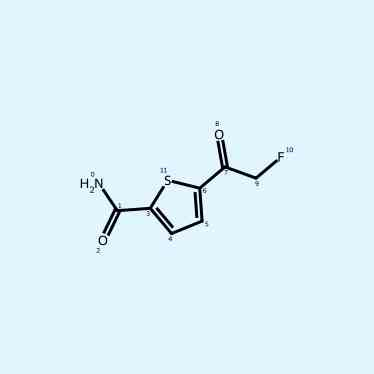 NC(=O)c1ccc(C(=O)CF)s1